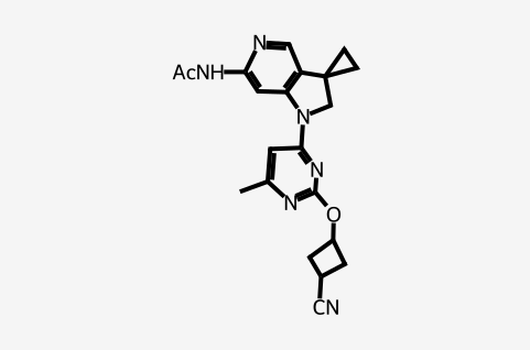 CC(=O)Nc1cc2c(cn1)C1(CC1)CN2c1cc(C)nc(OC2CC(C#N)C2)n1